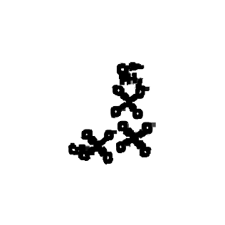 O=S(=O)([O-])[O-].O=S(=O)([O-])[O-].O=S(=O)([O-])[O-].P.[Cr+3].[Cr+3]